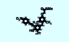 CNC(=O)COc1cc(C)c(Cc2cc(C#Cc3ccc([N+](=O)[O-])cc3)c(O)c(C(C)C)c2)c(C)c1